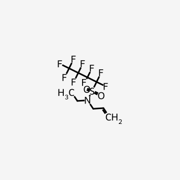 C=CCN(CC)S(=O)(=O)C(F)(F)C(F)(F)C(F)(F)C(F)(F)F